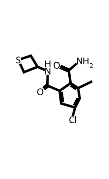 Cc1cc(Cl)cc(C(=O)NC2CSC2)c1C(N)=O